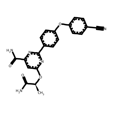 C[C@H](Oc1cc(C(N)=O)nc(-c2ccc(Oc3ccc(C#N)cc3)cc2)n1)C(N)=O